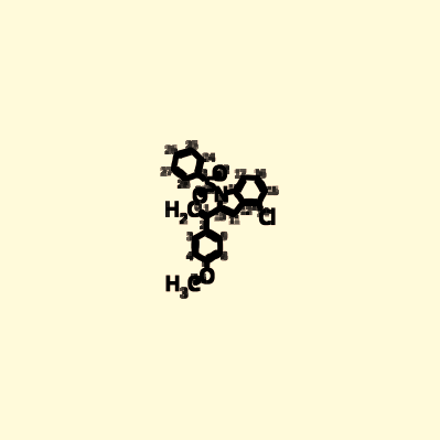 C=C(c1ccc(OC)cc1)c1cc2c(Cl)cccc2n1S(=O)(=O)c1ccccc1